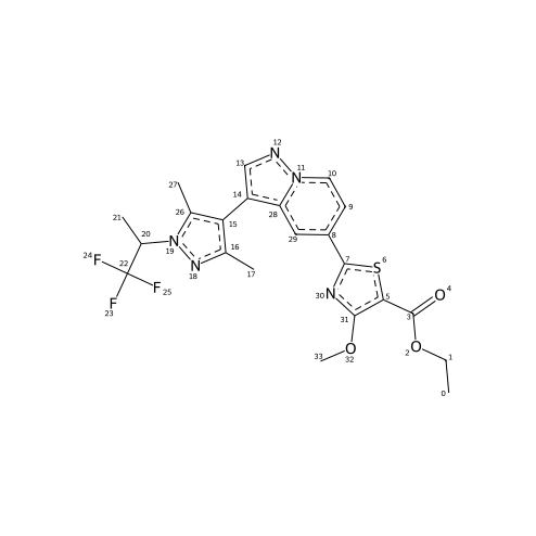 CCOC(=O)c1sc(-c2ccn3ncc(-c4c(C)nn(C(C)C(F)(F)F)c4C)c3c2)nc1OC